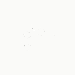 CC(C)(C)c1ccc(Nc2ccc3sc4ccccc4c3c2)cc1